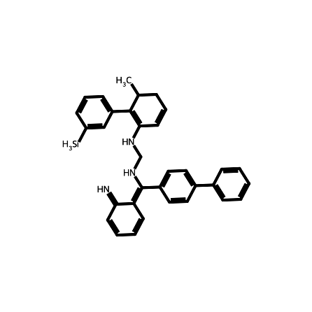 CC1CC=CC(NCN/C(=C2/C=CC=CC2=N)c2ccc(-c3ccccc3)cc2)=C1c1cccc([SiH3])c1